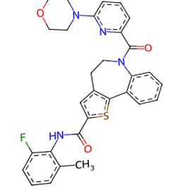 Cc1cccc(F)c1NC(=O)c1cc2c(s1)-c1ccccc1N(C(=O)c1cccc(N3CCOCC3)n1)CC2